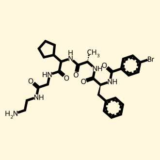 C[C@H](NC(=O)[C@H](Cc1ccccc1)NC(=O)c1ccc(Br)cc1)C(=O)NC(C(=O)NCC(=O)NCCN)C1CCCC1